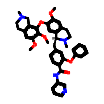 COc1cc2c(cc1Oc1c3c(cc(OC)c1OC)CCN(C)C3)[C@@H](Cc1ccc(C(=O)Nc3cccnc3)c(Oc3ccccc3)c1)N(C)CC2